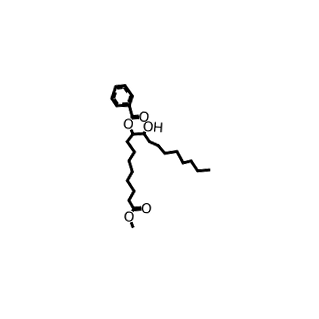 CCCCCCCCC(O)C(CCCCCCCC(=O)OC)OC(=O)c1ccccc1